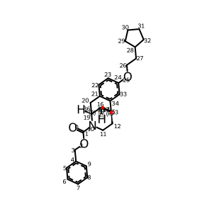 O=C(OCc1ccccc1)N1CC[C@]23CCCC[C@H]2[C@H]1Cc1ccc(OCCC2CCCC2)cc13